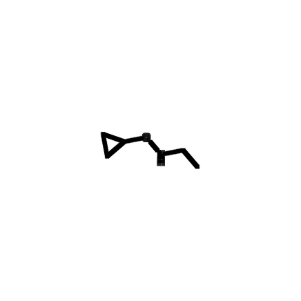 CCNOC1CC1